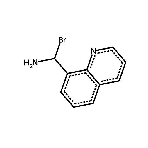 NC(Br)c1cccc2cccnc12